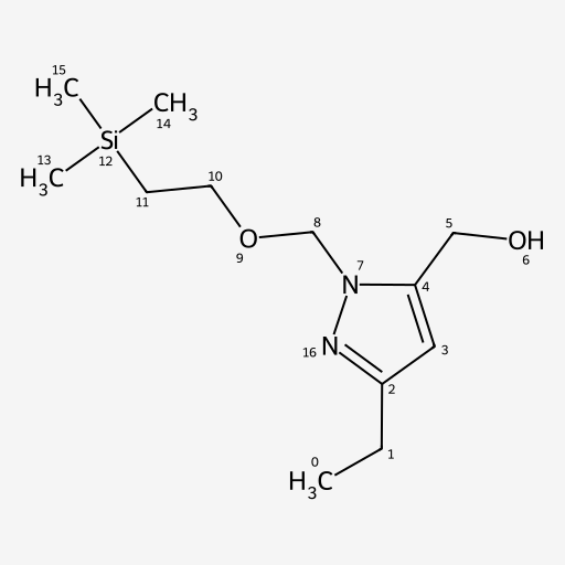 CCc1cc(CO)n(COCC[Si](C)(C)C)n1